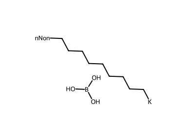 CCCCCCCCCCCCCCCCC[CH2][K].OB(O)O